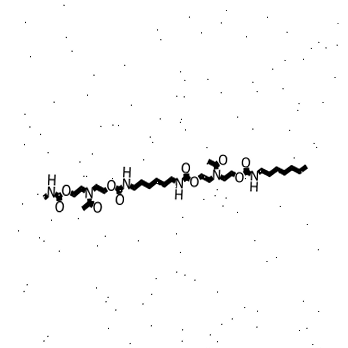 CCCCCCCNC(=O)OCCN(CCOC(=O)NCCCCCCNC(=O)OCCN(CCOC(=O)NC)C(C)=O)C(C)=O